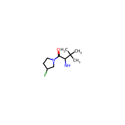 CC(C)(C)C([NH])C(=O)N1CCC(F)C1